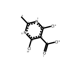 Cc1nc(Cl)c(C(=O)Cl)c(Cl)n1